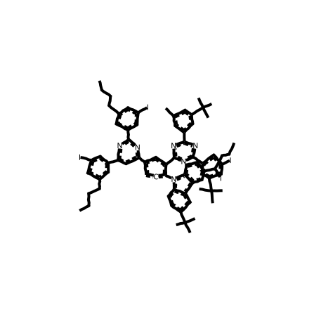 CCCCc1cc(I)cc(-c2cc(-c3ccc(-n4c5ccc(C(I)CCC)cc5c5cc(C(C)(C)C)ccc54)c(-c4nc(-c5cc(C)cc(C(C)(C)C)c5)nc(-c5cc(I)cc(C(C)(C)C)c5)n4)c3)nc(-c3cc(I)cc(CCCC)c3)n2)c1